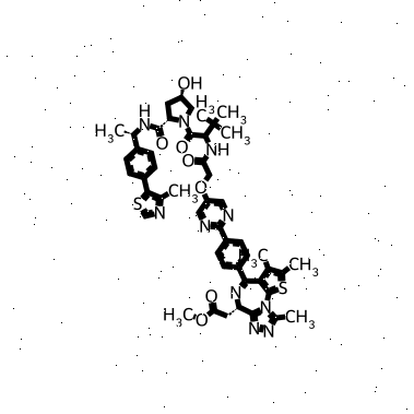 COC(=O)C[C@@H]1N=C(c2ccc(-c3ncc(OCC(=O)NC(C(=O)N4C[C@H](O)C[C@H]4C(=O)N[C@@H](C)c4ccc(-c5scnc5C)cc4)C(C)(C)C)cn3)cc2)c2c(sc(C)c2C)-n2c(C)nnc21